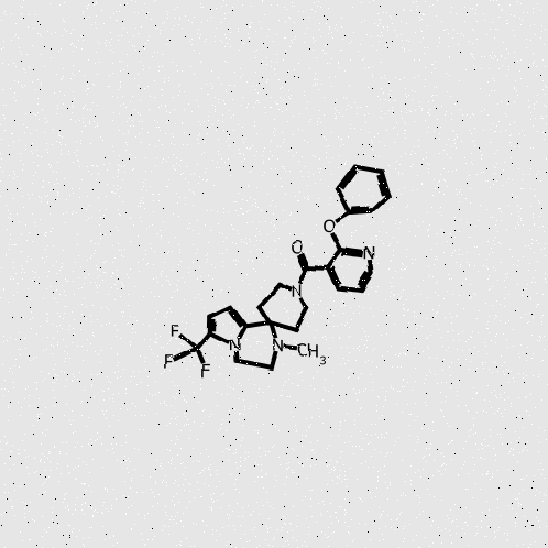 CN1CCn2c(C(F)(F)F)ccc2C12CCN(C(=O)c1cccnc1Oc1ccccc1)CC2